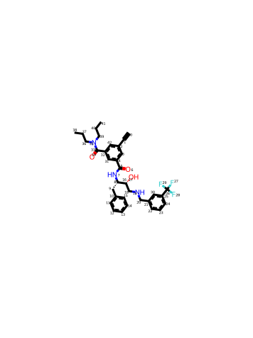 C#Cc1cc(C(=O)N[C@@H](Cc2ccccc2)[C@H](O)CNCc2cccc(C(F)(F)F)c2)cc(C(=O)N(CCC)CCC)c1